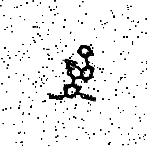 COc1cc(OC)nc(C(=O)c2nccc(-c3cccs3)c2C(=O)[O-])n1.[Na+]